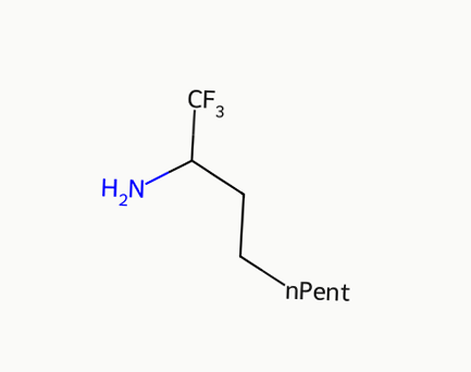 CCCCCCCC(N)C(F)(F)F